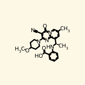 COC1CCN(c2nc3c([C@@H](C)Nc4ccccc4C(=O)O)cc(C)cn3c(=O)c2C#N)CC1